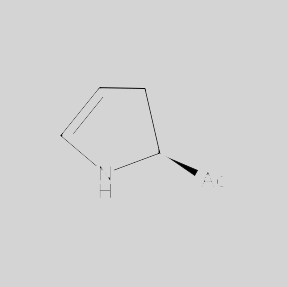 CC(=O)[C@@H]1CC=CN1